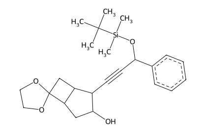 CC(C)(C)[Si](C)(C)OC(C#CC1C(O)CC2C1CC21OCCO1)c1ccccc1